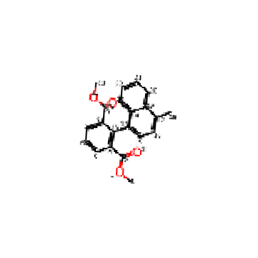 COC(=O)c1cccc(C(=O)OC)c1-c1ccc(C)c2ccccc12